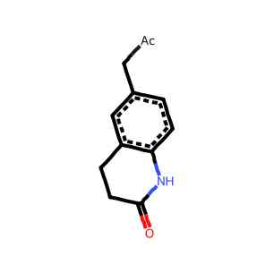 CC(=O)Cc1ccc2c(c1)CCC(=O)N2